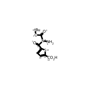 CC(C)(C)OC(=O)N(N)C(=O)c1ccc(C(=O)O)s1